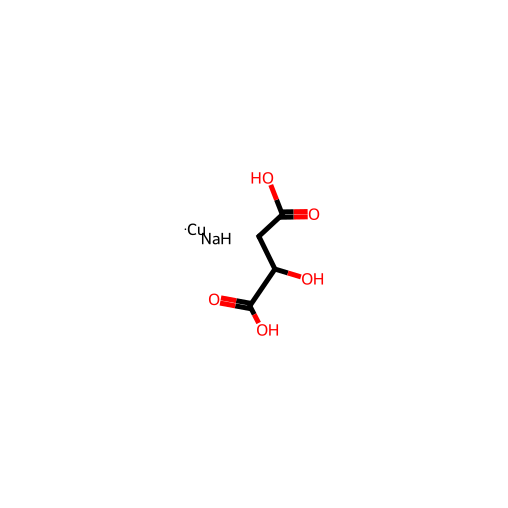 O=C(O)CC(O)C(=O)O.[Cu].[NaH]